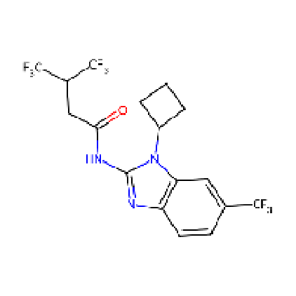 O=C(CC(C(F)(F)F)C(F)(F)F)Nc1nc2ccc(C(F)(F)F)cc2n1C1CCC1